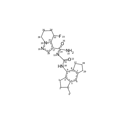 CC1CCc2c1cc1c(c2NC(=O)N=S(N)(=O)c2cnn3c2C(F)CCC3)CCC1